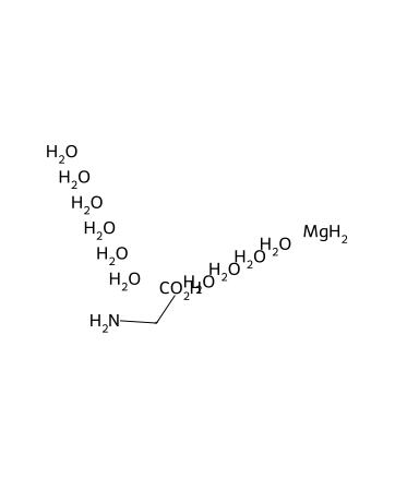 NCC(=O)O.O.O.O.O.O.O.O.O.O.O.[MgH2]